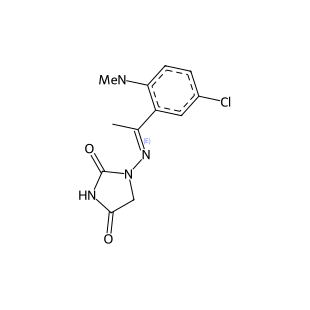 CNc1ccc(Cl)cc1/C(C)=N/N1CC(=O)NC1=O